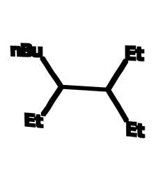 CCCCC(CC)C(CC)CC